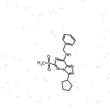 CS(=O)(=O)c1nc(NCc2ccccc2)c2ncc(C3CCCC3)n2n1